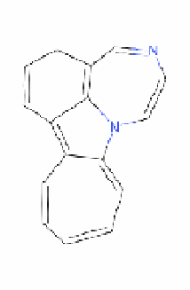 C1=CC=c2c(c3c4n2C=CN=CC=4CC=C3)C=C1